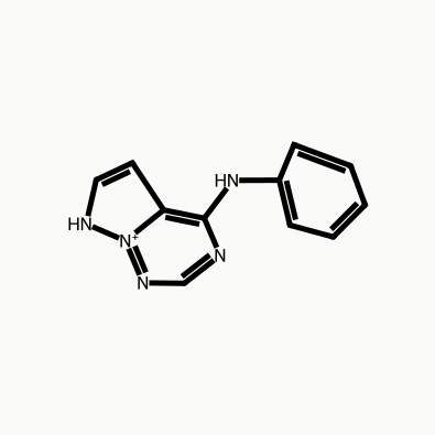 c1ccc(Nc2ncn[n+]3[nH]ccc23)cc1